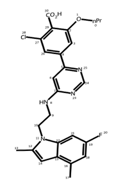 CCCOc1cc(-c2cc(NCCn3c(C)cc4c(C)cc(F)cc43)ncn2)cc(Cl)c1C(=O)O